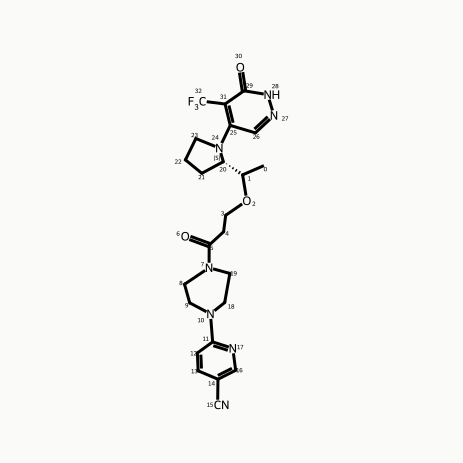 CC(OCCC(=O)N1CCN(c2ccc(C#N)cn2)CC1)[C@@H]1CCCN1c1cn[nH]c(=O)c1C(F)(F)F